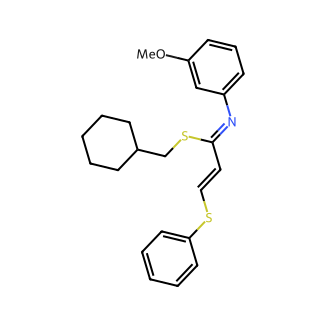 COc1cccc(N=C(C=CSc2ccccc2)SCC2CCCCC2)c1